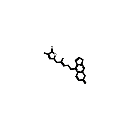 C=C1C=Cc2c(cc3c(c2CC/C=C(\C)CC2C=C(C)C(=O)O2)C=CC3)C1